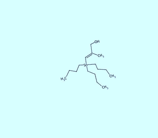 CCC[CH2][Sn](/[CH]=C(\C)CO)([CH2]CCC)[CH2]CCC